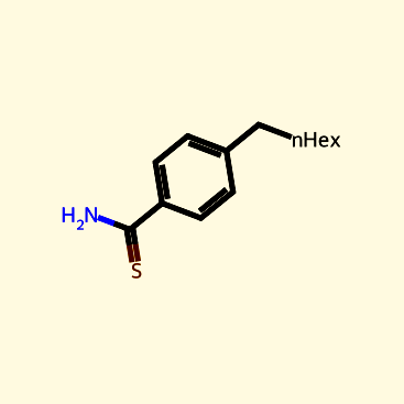 CCCCCCCc1ccc(C(N)=S)cc1